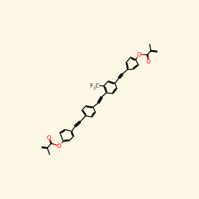 C=C(C)C(=O)Oc1ccc(C#Cc2ccc(C#Cc3ccc(C#Cc4ccc(OC(=O)C(=C)C)cc4)cc3C(F)(F)F)cc2)cc1